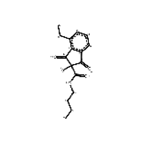 CCCCOC(=O)C1(O)C(=O)c2cccc(CC)c2C1=O